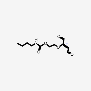 CCCCNC(=O)OCCO/C(C=O)=C\C=O